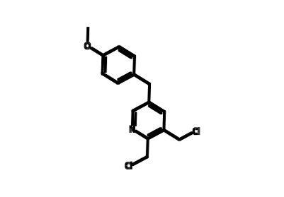 COc1ccc(Cc2cnc(CCl)c(CCl)c2)cc1